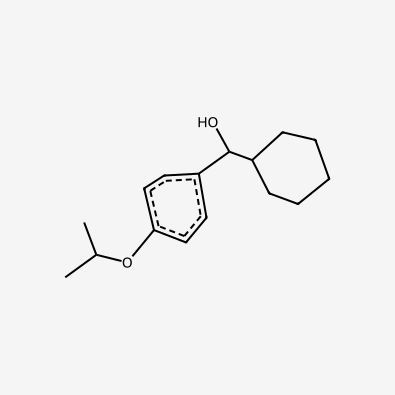 CC(C)Oc1ccc(C(O)C2CCCCC2)cc1